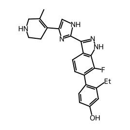 CCc1cc(O)ccc1-c1ccc2c(-c3nc(C4=C(C)CNCC4)c[nH]3)n[nH]c2c1F